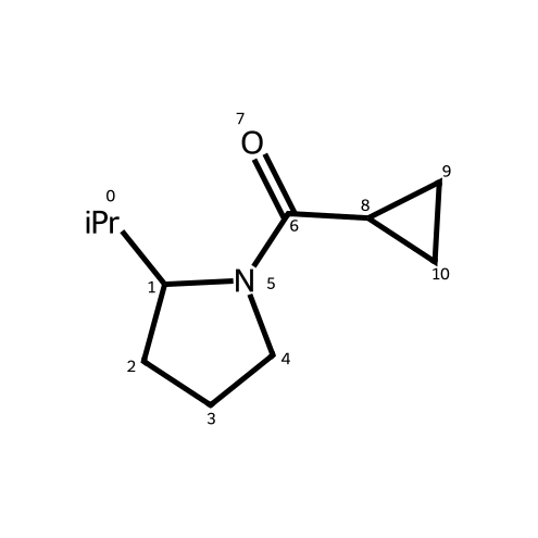 CC(C)C1CCCN1C(=O)C1CC1